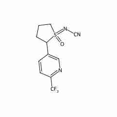 N#CN=S1(=O)CCCC1c1ccc(C(F)(F)F)nc1